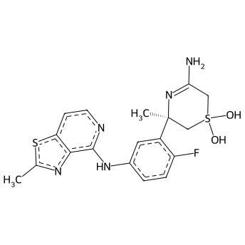 Cc1nc2c(Nc3ccc(F)c([C@]4(C)CS(O)(O)CC(N)=N4)c3)nccc2s1